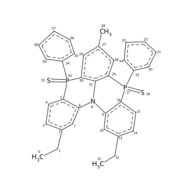 CCc1ccc2c(c1)N1c3cc(CC)ccc3P(=S)(c3ccccc3)c3cc(C)cc(c31)P2(=S)c1ccccc1